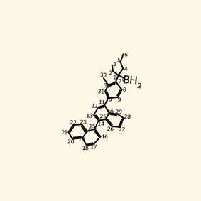 BC(CC)(CCC)c1ccc(-c2ccc(-c3cccc4ccccc34)c3ccccc23)cc1C